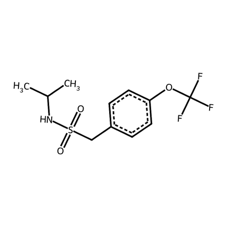 CC(C)NS(=O)(=O)Cc1ccc(OC(F)(F)F)cc1